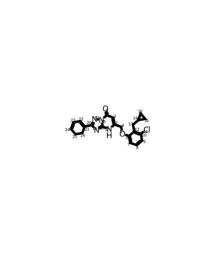 O=c1cc(COc2cccc(Cl)c2CC2CC2)[nH]c2nc(C3=CC=CCC3)nn12